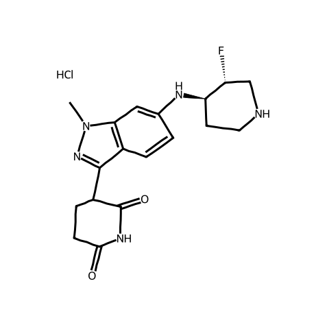 Cl.Cn1nc(C2CCC(=O)NC2=O)c2ccc(N[C@@H]3CCNC[C@H]3F)cc21